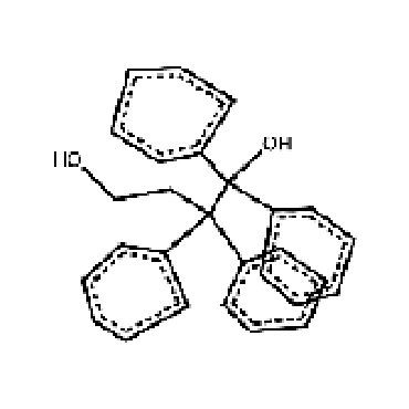 OCCC(c1ccccc1)(c1ccccc1)C(O)(c1ccccc1)c1ccccc1